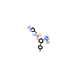 CCc1nnnn1-c1cc(OC(=O)NCc2ccc(N(C)C)nc2)cc(-c2ccc(C)cc2)c1